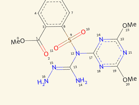 COC(=O)c1ccccc1S(=O)(=O)N(C(N)=NN)c1nc(OC)nc(OC)n1